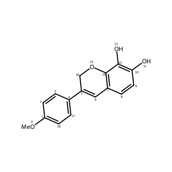 COc1ccc(C2=Cc3ccc(O)c(O)c3OC2)cc1